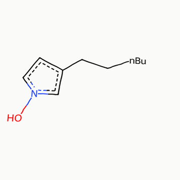 CCCCCCc1ccn(O)c1